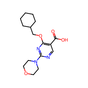 O=C(O)c1cnc(N2CCOCC2)nc1OCC1CCCCC1